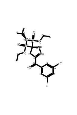 CCOP(=O)(OCC)C1(P(=O)(OCC)OCC)CC(C(=O)c2cc(F)cc(F)c2)=NN1